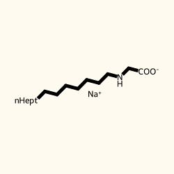 CCCCCCCCCCCCCCNCC(=O)[O-].[Na+]